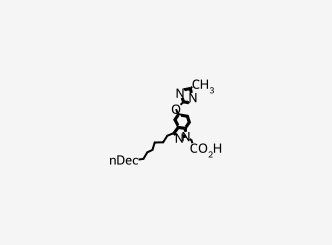 CCCCCCCCCCCCCCCCc1nn(CC(=O)O)c2ccc(Oc3cnc(C)cn3)cc12